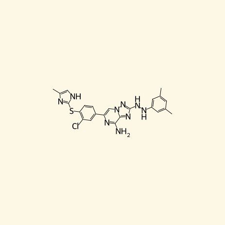 Cc1cc(C)cc(NNc2nc3c(N)nc(-c4ccc(Sc5nc(C)c[nH]5)c(Cl)c4)cn3n2)c1